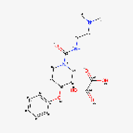 CN(C)CCNC(=O)N1CCC(Oc2ccccc2)CC1.O=C(O)C(=O)O